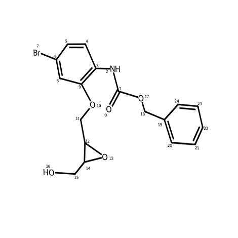 O=C(Nc1ccc(Br)cc1OCC1OC1CO)OCc1ccccc1